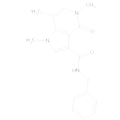 Cc1cn(C)c(=O)c2c(C(=O)NCc3ccccc3)cn(C)c12